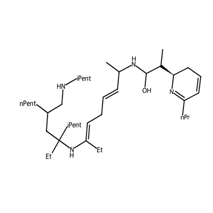 CCCCCC(CNC(C)CCC)CC(CC)(N/C(=C/C/C=C/C(C)NC(O)C(C)[C@H]1CC=CC(CCC)=N1)CC)C(C)CCC